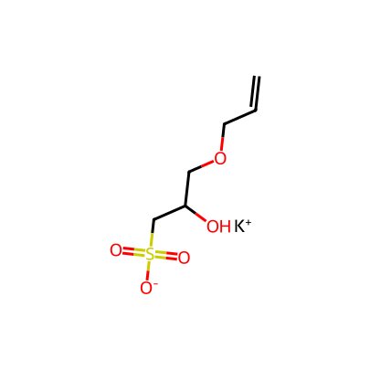 C=CCOCC(O)CS(=O)(=O)[O-].[K+]